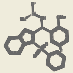 COc1ccc(F)cc1[C@H](N[S@@+]([O-])C(C)(C)C)c1cc2ccccc2n1S(=O)(=O)c1ccccc1